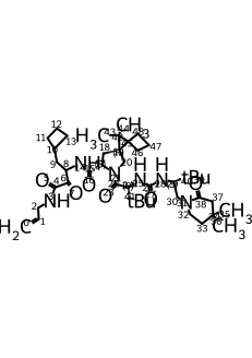 C=CCNC(=O)C(=O)C(CC1CCC1)NC(=O)[C@@H]1C[C@@]2(CN1C(=O)[C@@H](NC(=O)N[C@H](CN1CCC(C)(C)CC1=O)C(C)(C)C)C(C)(C)C)C(C)(C)C21CCC1